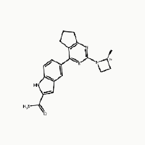 C[C@H]1CCN1c1nc2c(c(-c3ccc4[nH]c(C(N)=O)cc4c3)n1)CCC2